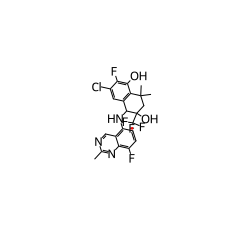 Cc1ncc2c(NC3c4cc(Cl)c(F)c(O)c4C(C)(C)CC3(O)C(F)(F)F)ccc(F)c2n1